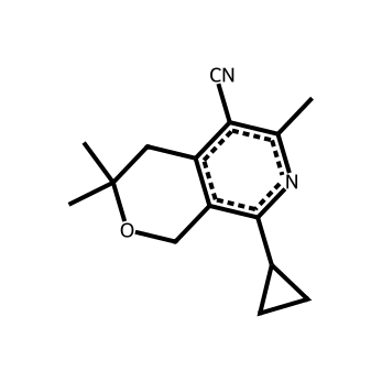 Cc1nc(C2CC2)c2c(c1C#N)CC(C)(C)OC2